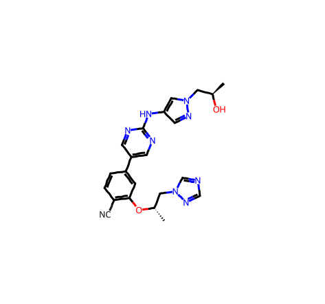 C[C@@H](O)Cn1cc(Nc2ncc(-c3ccc(C#N)c(O[C@@H](C)Cn4cncn4)c3)cn2)cn1